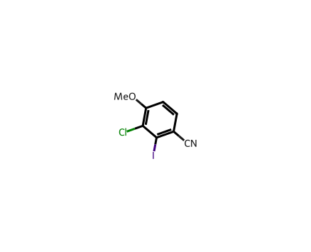 COc1ccc(C#N)c(I)c1Cl